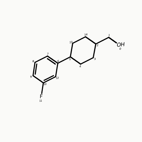 OCC1CCC(c2cccc(F)c2)CC1